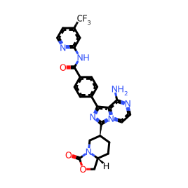 Nc1nccn2c([C@H]3CC[C@@H]4COC(=O)N4C3)nc(-c3ccc(C(=O)Nc4cc(C(F)(F)F)ccn4)cc3)c12